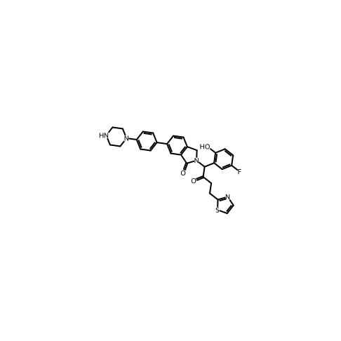 O=C(CCc1nccs1)C(c1cc(F)ccc1O)N1Cc2ccc(-c3ccc(N4CCNCC4)cc3)cc2C1=O